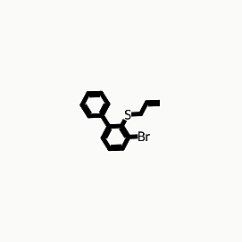 C=CCSc1c(Br)cccc1-c1ccccc1